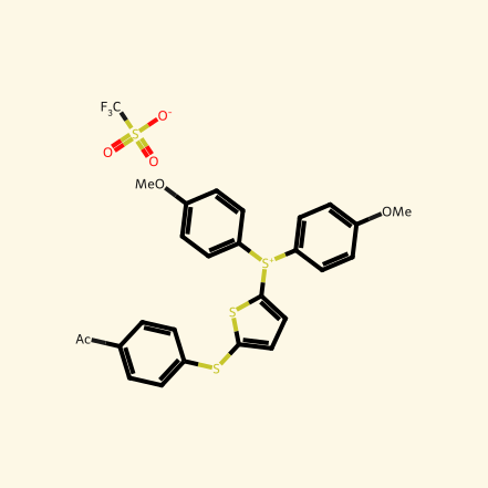 COc1ccc([S+](c2ccc(OC)cc2)c2ccc(Sc3ccc(C(C)=O)cc3)s2)cc1.O=S(=O)([O-])C(F)(F)F